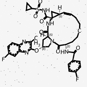 Cc1nc2ccc(F)cc2nc1O[C@@H]1C[C@H]2C(=O)N[C@]3(C(=O)NS(=O)(=O)C4CC4)C[C@H]3C=CCCCCC[C@H](NC(=O)c3ccc(F)cc3)C(=O)N2C1